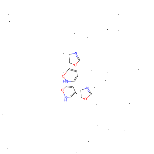 C1=CNOC=C1.C1=CNOC=C1.C1=NCCO1.C1=NCCO1